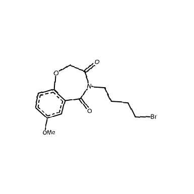 COc1ccc2c(c1)C(=O)N(CCCCBr)C(=O)CO2